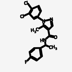 Cc1c(C(=O)NC(C)c2ccc(F)cc2)cnn1-c1ccc(Cl)c(Cl)c1